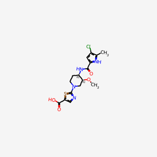 CO[C@H]1CN(c2ncc(C(=O)O)s2)CC[C@H]1NC(=O)c1cc(Cl)c(C)[nH]1